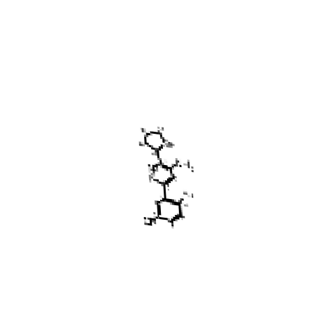 Nc1cc(-c2cc(Cl)ccc2F)nnc1C1CCCS1